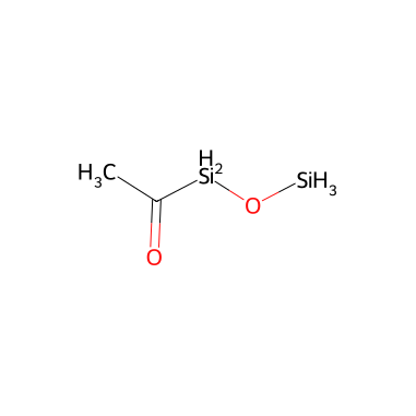 CC(=O)[SiH2]O[SiH3]